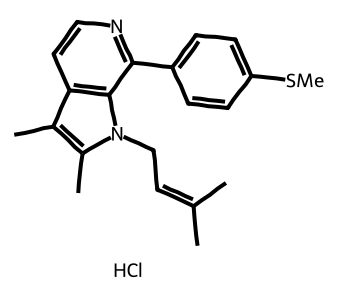 CSc1ccc(-c2nccc3c(C)c(C)n(CC=C(C)C)c23)cc1.Cl